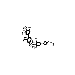 Cc1ccc(-c2cc(F)c(C(F)(F)Oc3ccc(-c4cc(F)c(C(F)F)c(F)c4)c(F)c3)c(F)c2)cc1